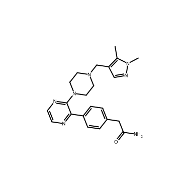 Cc1c(CN2CCN(c3nccnc3-c3ccc(CC(N)=O)cc3)CC2)cnn1C